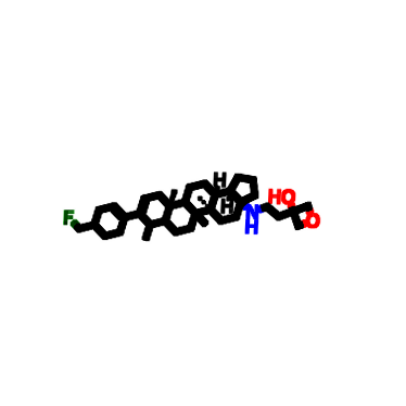 CC1C(C2=CCC(CF)CC2)=CC[C@@]2(C)C1CCC1(C)C2CC[C@@H]2[C@H]3CCCC3(NCCC3(O)COC3)CC[C@]21C